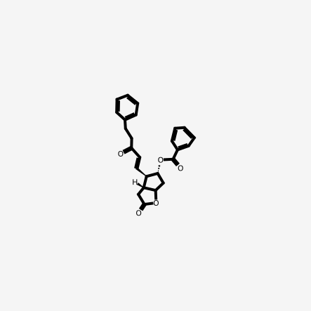 O=C(/C=C/[C@H]1[C@H](OC(=O)c2ccccc2)CC2OC(=O)C[C@@H]21)CCc1ccccc1